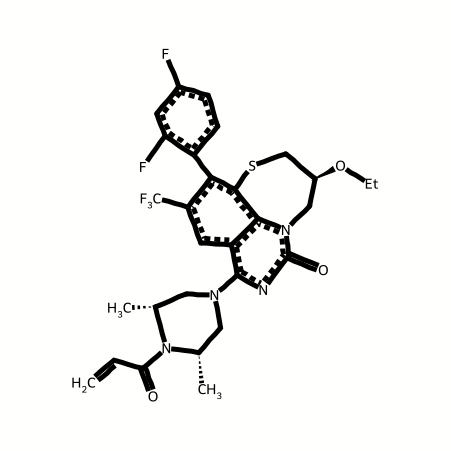 C=CC(=O)N1[C@H](C)CN(c2nc(=O)n3c4c(c(-c5ccc(F)cc5F)c(C(F)(F)F)cc24)SC[C@@H](OCC)C3)C[C@@H]1C